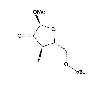 CCCCOC[C@H]1O[C@H](OC)C(=O)[C@@H]1F